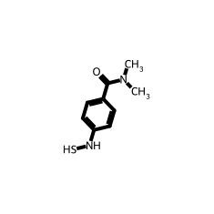 CN(C)C(=O)c1ccc(NS)cc1